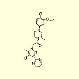 CCOc1cc(N2CCN(C(=O)Cn3nc(-c4ncccn4)c(Cl)c3C)C(C)C2)ccc1Cl